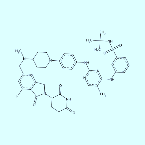 Cc1cnc(Nc2ccc(N3CCC(N(C)Cc4cc(F)c5c(c4)CN(C4CCC(=O)NC4=O)C5=O)CC3)cc2)nc1Nc1cccc(S(=O)(=O)NC(C)(C)C)c1